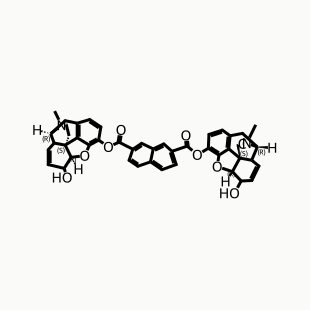 CN1CC[C@]23c4c5ccc(OC(=O)c6ccc7ccc(C(=O)Oc8ccc9c%10c8O[C@H]8C(O)C=CC%11[C@@H](C9)N(C)CC[C@@]%10%118)cc7c6)c4O[C@H]2C(O)C=CC3[C@H]1C5